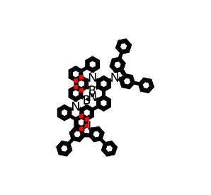 c1ccc(-c2ccc3c(c2)c2cc(-c4ccccc4)ccc2n3-c2cc3c4c(c2)N(c2ccccc2-c2ccccc2)c2ccccc2B4N2B4c5ccccc5N(c5ccccc5-c5ccccc5)c5cc(-n6c7ccc(-c8ccccc8)cc7c7cc(-c8ccccc8)ccc76)cc(c54)-c4cccc-3c42)cc1